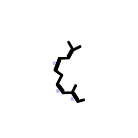 C/C=C(C)/C=C\C/C=C\C=C(C)C